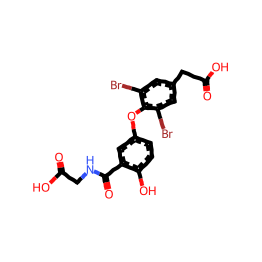 O=C(O)CNC(=O)c1cc(Oc2c(Br)cc(CC(=O)O)cc2Br)ccc1O